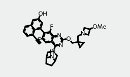 C#Cc1cccc2cc(O)cc(-c3c(F)cc4c(N5CC6CCC(C5)N6)nc(OCC5(CN6CC(OC)C6)CC5)nc4c3F)c12